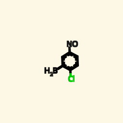 Bc1cc(N=O)ccc1Cl